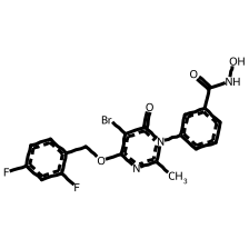 Cc1nc(OCc2ccc(F)cc2F)c(Br)c(=O)n1-c1cccc(C(=O)NO)c1